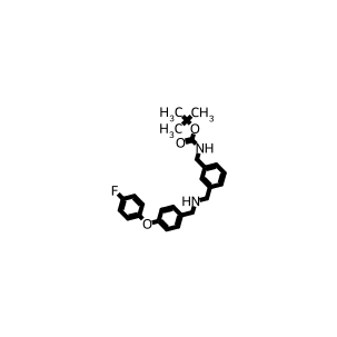 CC(C)(C)OC(=O)NCc1cccc(CNCc2ccc(Oc3ccc(F)cc3)cc2)c1